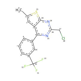 Cc1cc2c(-c3cccc(C(F)(F)F)c3)nc(CCl)nc2s1